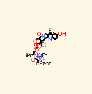 CCCCCC(NC(=O)CC)C(=O)NC(COC(=O)OC1(CC)C(=O)OCc2c1cc1n(c2=O)Cc2c-1nc1ccc(O)cc1c2CC)C(C)C